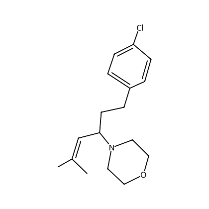 CC(C)=CC(CCc1ccc(Cl)cc1)N1CCOCC1